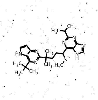 CSC(CCC(C)(C)c1nc(C(C)(C)C)c2[nH]ccc2n1)c1nc(C(C)C)nc2nc[nH]c12